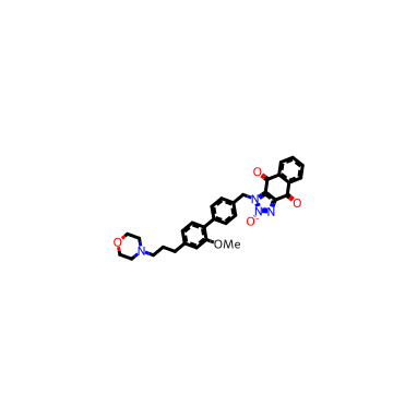 COc1cc(CCCN2CCOCC2)ccc1-c1ccc(Cn2c3c(n[n+]2[O-])C(=O)c2ccccc2C3=O)cc1